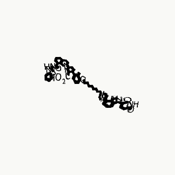 Cc1c(OCCCCCCCCN2CCN(c3cccc4c(C5CCC(=O)NC5=O)nn(C)c34)CC2)cccc1-c1ccc(N2CCc3cccc(C(=O)Nc4nc5ccccc5s4)c3C2)nc1C(=O)O